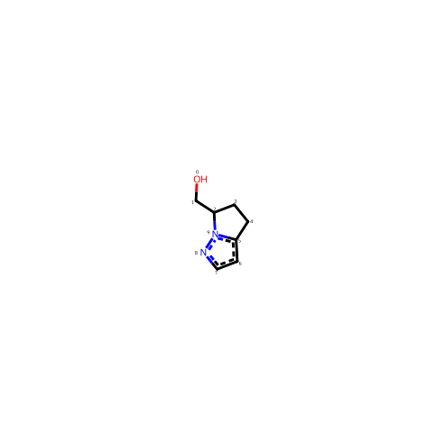 OCC1CCc2ccnn21